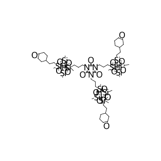 CC1O[SiH](C)O[Si](C)(CCCn2c(=O)n(CCC[Si]3(C)O[SiH](C)O[Si](C)(CCC4CCC5OC5C4)O[SiH](C)O3)c(=O)n(CCC[Si]3(C)O[SiH](C)O[Si](C)(CCC4CCC5OC5C4)O[SiH](C)O3)c2=O)O[SiH](CCC2CCC3OC3C2)O1